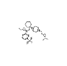 CCON(CC1(N2CCN(CCOC(C)C)CC2)CCCCC1)c1cccc(C(F)(F)F)n1